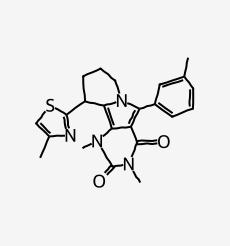 Cc1cccc(-c2c3c(=O)n(C)c(=O)n(C)c3c3n2CCCC3c2nc(C)cs2)c1